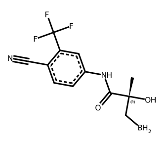 BC[C@@](C)(O)C(=O)Nc1ccc(C#N)c(C(F)(F)F)c1